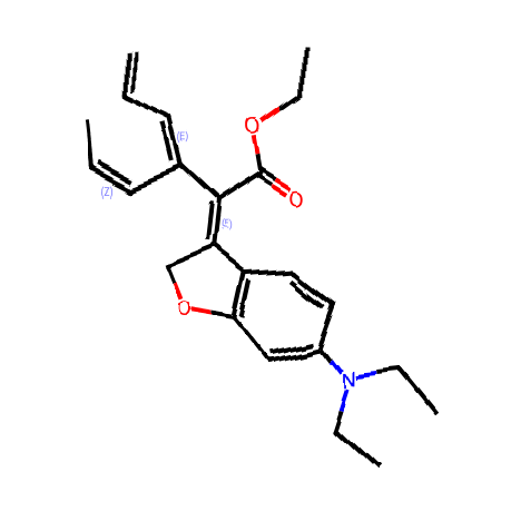 C=C/C=C(\C=C/C)C(/C(=O)OCC)=C1\COc2cc(N(CC)CC)ccc21